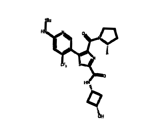 C[C@H]1CCCN1C(=O)c1nc(C(=O)N[C@H]2C[C@@H](O)C2)sc1-c1cnc(NC(C)(C)C)cc1C(F)(F)F